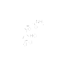 Cl.NC(=O)Cc1ccc(-c2ccc(Cl)c(Cl)c2)o1